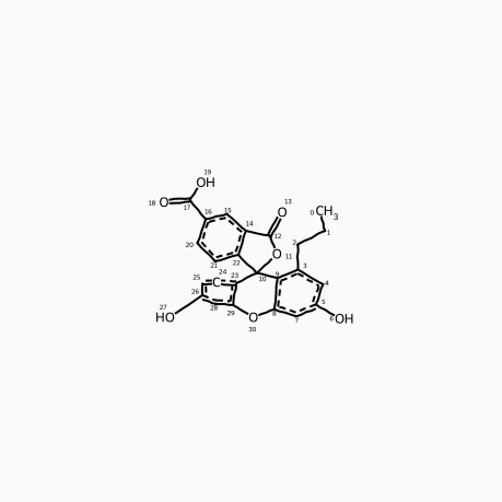 CCCc1cc(O)cc2c1C1(OC(=O)c3cc(C(=O)O)ccc31)c1ccc(O)cc1O2